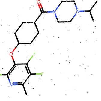 Cc1nc(F)c(OC2CCC(C(=O)N3CCN(C(C)C)CC3)CC2)c(F)c1F